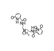 CN(CCNC(=O)c1cccc(=O)[nH]1)CCNC(=O)c1cccc(=O)n1O